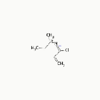 C=C/C(Cl)=N\[C@@H](C)CC